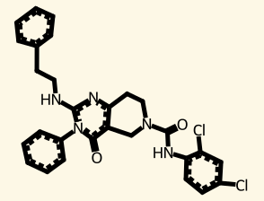 O=C(Nc1ccc(Cl)cc1Cl)N1CCc2nc(NCCc3ccccc3)n(-c3ccccc3)c(=O)c2C1